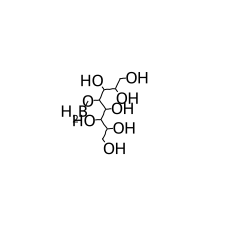 BOC(C(O)C(O)CO)C(O)C(O)C(O)CO